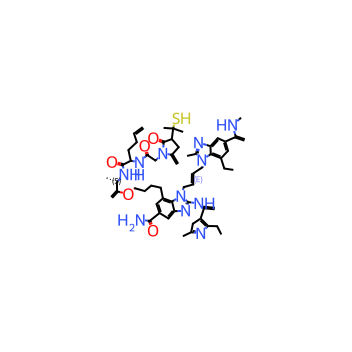 C=CCCC(NC(=O)CN1C(=C)CC(C(C)(C)S)C1=O)C(=O)N[C@@H](C)C(=C)OCCCCc1cc(C(N)=O)cc2nc(NC(=C)C3=C(CC)N=C(C)C3)n(C/C=C/Cn3c(C)nc4cc(C(=C)NC)cc(CC)c43)c12